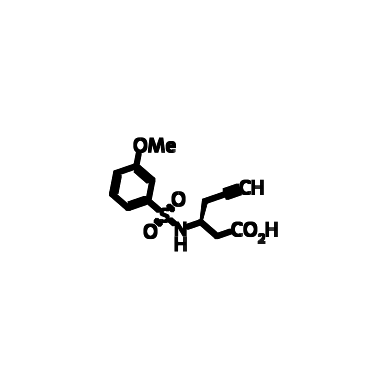 C#CC[C@@H](CC(=O)O)NS(=O)(=O)c1cccc(OC)c1